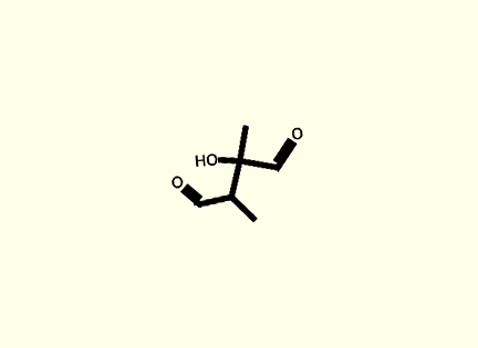 CC([C]=O)C(C)(O)[C]=O